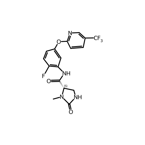 CN1C(=O)NC[C@H]1C(=O)Nc1cc(Oc2ccc(C(F)(F)F)cn2)ccc1F